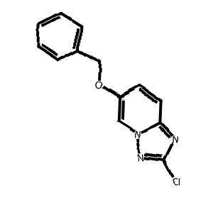 Clc1nc2ccc(OCc3ccccc3)cn2n1